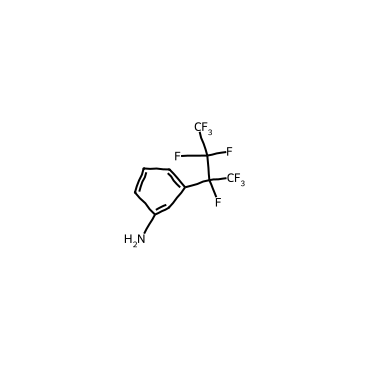 Nc1cccc(C(F)(C(F)(F)F)C(F)(F)C(F)(F)F)c1